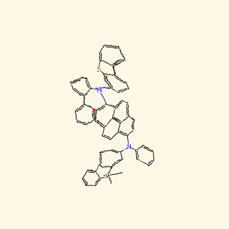 C[Si]1(C)c2ccccc2-c2ccc(N(c3ccccc3)c3ccc4ccc5c(N(c6ccccc6-c6ccccc6)c6cccc7c6sc6ccccc67)ccc6ccc3c4c65)cc21